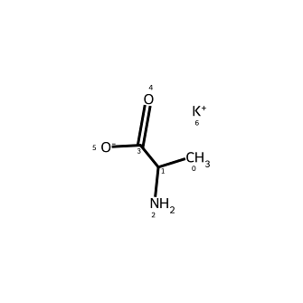 CC(N)C(=O)[O-].[K+]